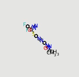 CCC(CC)n1ncn(-c2ccc(N3CCN(c4ccc(SCC5COC(Cn6cncn6)(c6ccc(F)cc6F)C5)cc4)CC3)cc2)c1=O